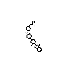 Cc1nc(-c2cnc(O[C@H]3CC[C@H](CC(=O)O)CC3)nc2)ccc1-c1nc2ccccc2[nH]1